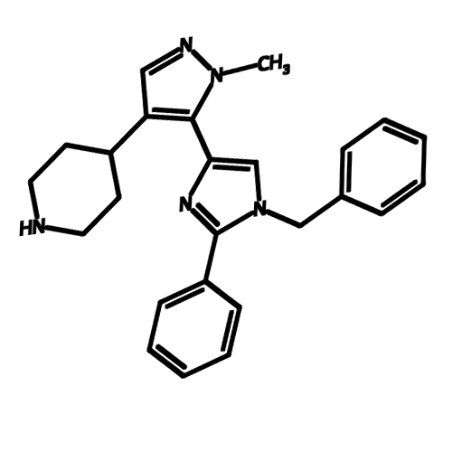 Cn1ncc(C2CCNCC2)c1-c1cn(Cc2ccccc2)c(-c2ccccc2)n1